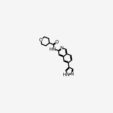 O=C(Nc1cc2cc(-c3cn[nH]c3)ccc2cn1)C1CCOCC1